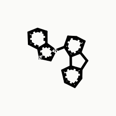 c1ccc2c(c1)Cc1cccc(-n3cnc4ccccc43)c1-2